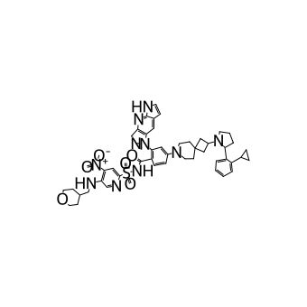 O=C(NS(=O)(=O)c1cc([N+](=O)[O-])c(NCC2CCOCC2)cn1)c1ccc(N2CCC3(CC2)CC(N2CCCC2c2ccccc2C2CC2)C3)cc1-n1ncc2nc3[nH]ccc3cc21